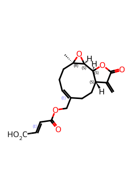 C=C1C(=O)O[C@H]2[C@H]1CC/C(COC(=O)/C=C/C(=O)O)=C\CC[C@@]1(C)O[C@@H]21